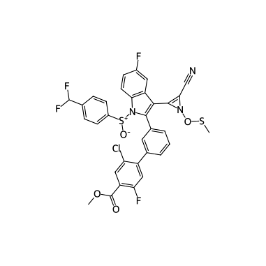 COC(=O)c1cc(Cl)c(-c2cccc(-c3c(C4=C(C#N)N4OSC)c4cc(F)ccc4n3[S+]([O-])c3ccc(C(F)F)cc3)c2)cc1F